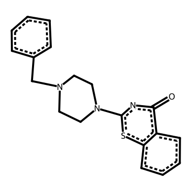 O=c1nc(N2CCN(Cc3ccccc3)CC2)sc2ccccc12